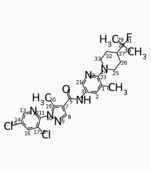 Cc1cc(NC(=O)c2cnn(-c3ncc(Cl)cc3Cl)c2C)cnc1N1CCC(C(C)(C)F)CC1